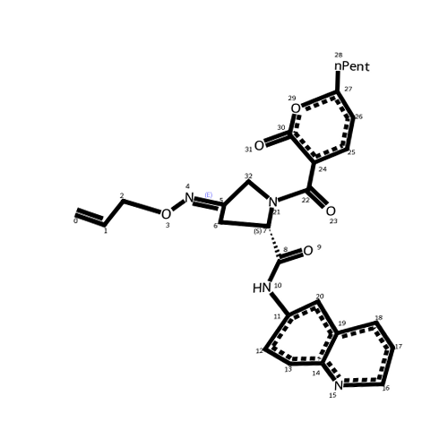 C=CCO/N=C1\C[C@@H](C(=O)Nc2ccc3ncccc3c2)N(C(=O)c2ccc(CCCCC)oc2=O)C1